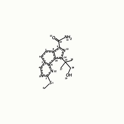 CSc1ncc2ccc3c(C(N)=O)nn(C(C)(C)CO)c3c2n1